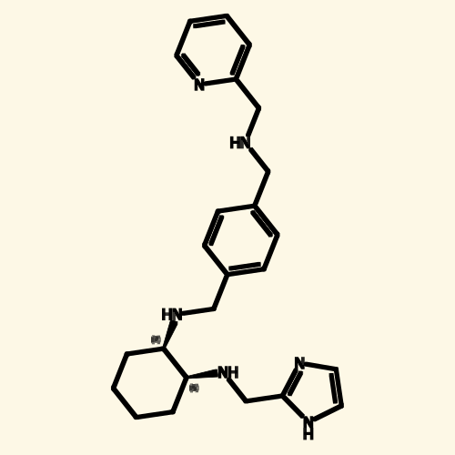 c1ccc(CNCc2ccc(CN[C@@H]3CCCC[C@@H]3NCc3ncc[nH]3)cc2)nc1